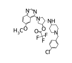 COc1ccc2ncnc(N3C[C@H](NC4CCN(Cc5ccc(Cl)cc5)CC4)[C@@H](OC(=O)C(F)(F)F)C3)c2c1